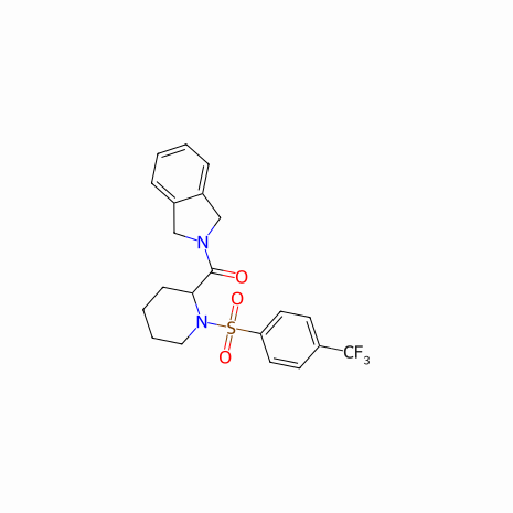 O=C(C1CCCCN1S(=O)(=O)c1ccc(C(F)(F)F)cc1)N1Cc2ccccc2C1